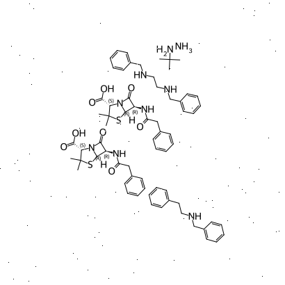 CC(C)(C)N.CC1(C)S[C@@H]2[C@H](NC(=O)Cc3ccccc3)C(=O)N2[C@H]1C(=O)O.CC1(C)S[C@@H]2[C@H](NC(=O)Cc3ccccc3)C(=O)N2[C@H]1C(=O)O.N.c1ccc(CCNCc2ccccc2)cc1.c1ccc(CNCCNCc2ccccc2)cc1